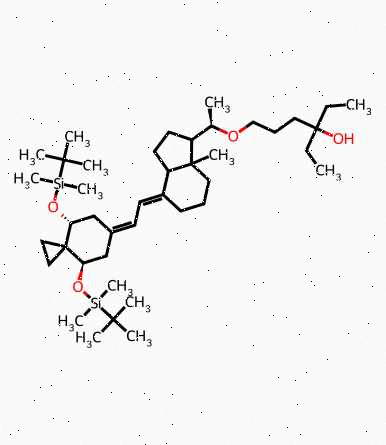 CCC(O)(CC)CCCO[C@H](C)C1CCC2/C(=C/C=C3C[C@@H](O[Si](C)(C)C(C)(C)C)C4(CC4)[C@H](O[Si](C)(C)C(C)(C)C)C3)CCCC21C